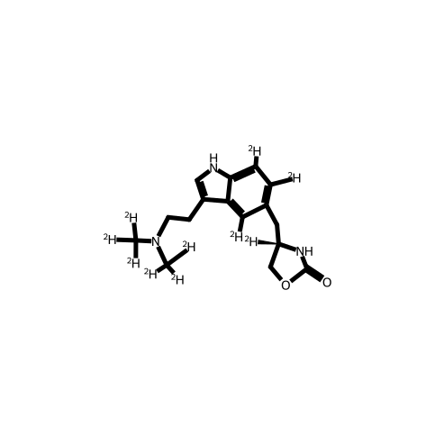 [2H]c1c(C[C@@]2([2H])COC(=O)N2)c([2H])c2c(CCN(C([2H])([2H])[2H])C([2H])([2H])[2H])c[nH]c2c1[2H]